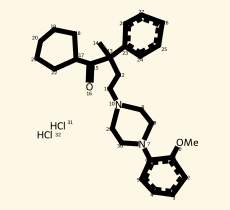 COc1ccccc1N1CCN(CCC(C)(C(=O)C2CCCCC2)c2ccccc2)CC1.Cl.Cl